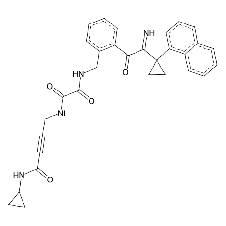 N=C(C(=O)c1ccccc1CNC(=O)C(=O)NCC#CC(=O)NC1CC1)C1(c2cccc3ccccc23)CC1